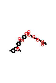 C=CC(=O)OCCOCCOCCOC(=O)Oc1ccc(OC(=O)c2ccc(C(=O)CC3CC(C)CCC3C(C)C)cc2)cc1